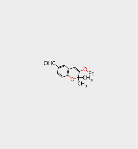 CCOC1=Cc2cc(C=O)ccc2OC1(C)C